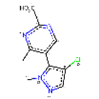 Cc1nc(C(=O)O)ncc1-c1c(Cl)cnn1C